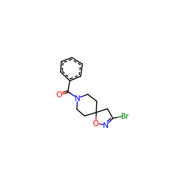 O=C(c1ccccc1)N1CCC2(CC1)CC(Br)=NO2